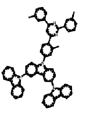 Cc1cccc(-c2cc(-c3ccc(-n4c5ccc(-n6c7ccccc7c7ccccc76)cc5c5cc(-n6c7ccccc7c7ccccc76)ccc54)cc3C)nc(-c3cccc(C)c3)n2)c1